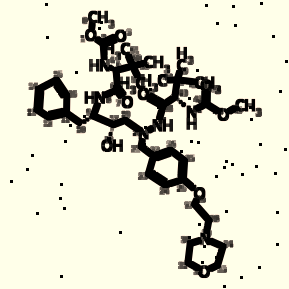 COC(=O)N[C@H](C(=O)N[C@@H](Cc1ccccc1)[C@@H](O)CN(Cc1ccc(OCCN2CCOCC2)cc1)NC(=O)[C@@H](NC(=O)OC)C(C)(C)C)C(C)(C)C